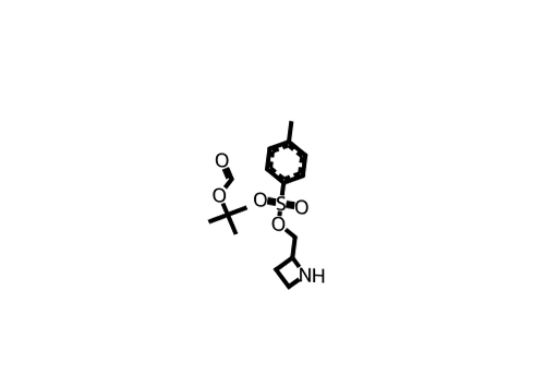 CC(C)(C)OC=O.Cc1ccc(S(=O)(=O)OCC2CCN2)cc1